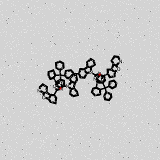 c1ccc(C(c2ccccc2)(c2ccccc2)c2ccccc2-c2nc(-c3ccc4oc5ncccc5c4c3)nc(-n3c4ccccc4c4cc(-c5ccc(C(c6ccccc6)(c6ccccc6)c6ccccc6-c6nc(-c7cccc8oc9ncccc9c78)nc(-n7c8ccccc8c8ccccc87)n6)cc5)ccc43)n2)cc1